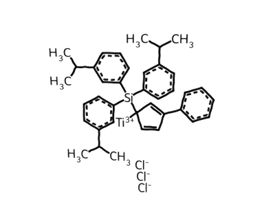 CC(C)c1cccc([Si](c2cccc(C(C)C)c2)(c2cccc(C(C)C)c2)[C]2([Ti+3])C=CC(c3ccccc3)=C2)c1.[Cl-].[Cl-].[Cl-]